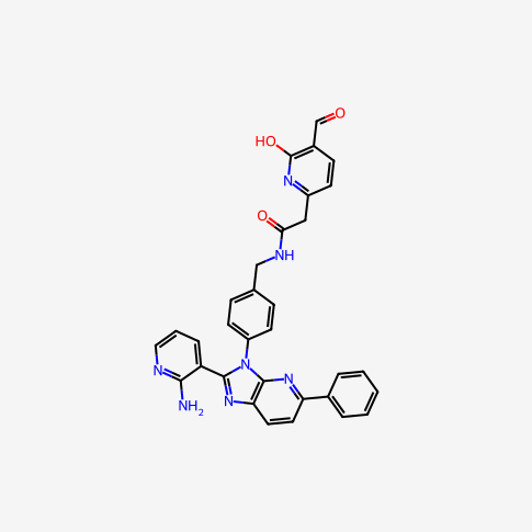 Nc1ncccc1-c1nc2ccc(-c3ccccc3)nc2n1-c1ccc(CNC(=O)Cc2ccc(C=O)c(O)n2)cc1